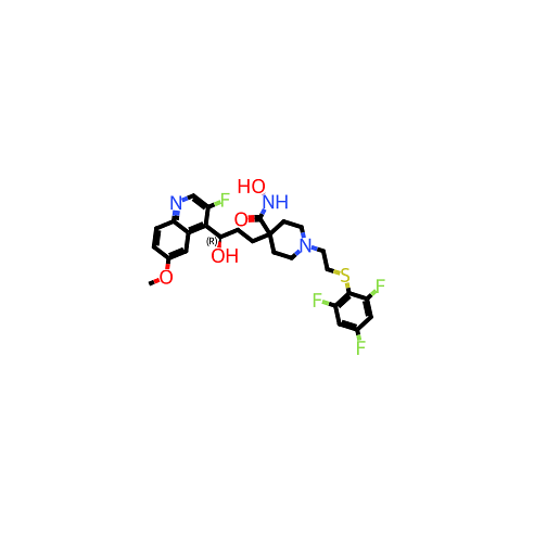 COc1ccc2ncc(F)c([C@H](O)CCC3(C(=O)NO)CCN(CCSc4c(F)cc(F)cc4F)CC3)c2c1